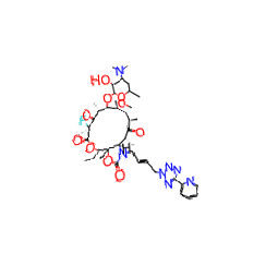 CC[C@H]1OC(=O)[C@@](C)(F)C(=O)[C@H](C)[C@@H](O[C@@H]2OC(C)CC(N(C)C)C2O)[C@](C)(OC)C[C@@H](C)C(=O)[C@H](C)[C@H]2N(C/C=C/Cn3nnc(-c4ccccn4)n3)C(=O)O[C@]12C